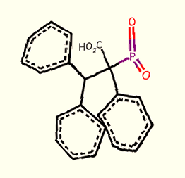 O=C(O)C(c1ccccc1)(C(c1ccccc1)c1ccccc1)P(=O)=O